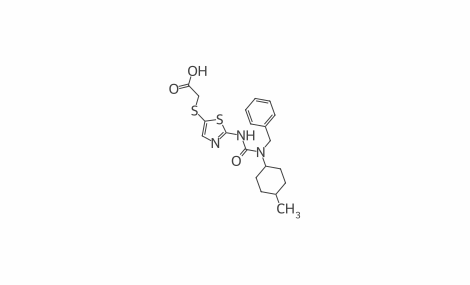 CC1CCC(N(Cc2ccccc2)C(=O)Nc2ncc(SCC(=O)O)s2)CC1